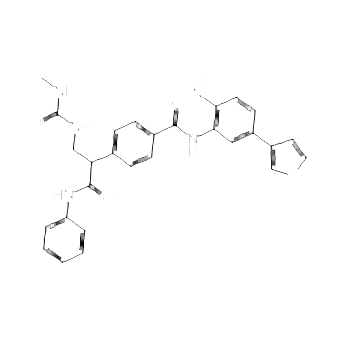 CNC(=O)NCC(C(=O)Nc1ccccc1)c1ccc(C(=O)Nc2cc(-c3ccsc3)ccc2N)cc1